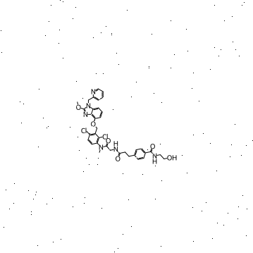 COc1nc2c(OCc3c(Cl)ccc(N(C)C(=O)CNC(=O)CCc4ccc(C(=O)NCCO)cc4)c3Cl)cccc2n1Cc1ccccn1